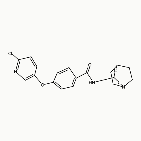 O=C(NC1CC2CCN(CC2)C1)c1ccc(Oc2ccc(Cl)nc2)cc1